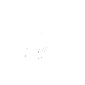 CCNCC.P.c1ccc(-c2ccccc2)cc1